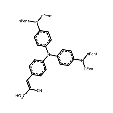 CCCCCN(CCCCC)c1ccc(N(c2ccc(/C=C(\C#N)C(=O)O)cc2)c2ccc(N(CCCCC)CCCCC)cc2)cc1